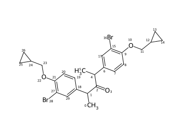 CC(C(=O)C(C)c1ccc(OCC2CC2)c(Br)c1)c1ccc(OCC2CC2)c(Br)c1